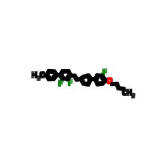 C=CCCCOc1ccc(C2=CCC(CCc3ccc(-c4ccc(C)cc4)c(F)c3F)CC2)cc1F